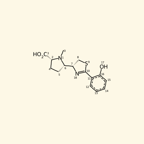 CN1[C@@H](C(=O)O)CC[C@H]1[C@@H]1CSC(c2ccccc2O)=N1